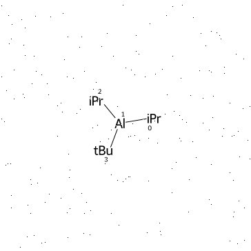 C[CH](C)[Al]([CH](C)C)[C](C)(C)C